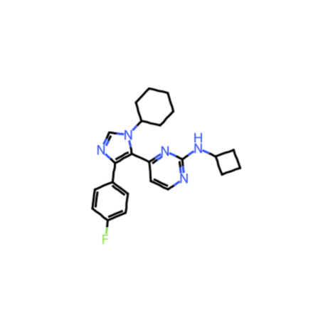 Fc1ccc(-c2ncn(C3CCCCC3)c2-c2ccnc(NC3CCC3)n2)cc1